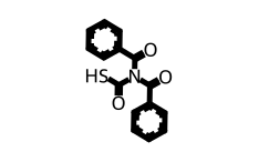 O=C(S)N(C(=O)c1ccccc1)C(=O)c1ccccc1